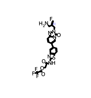 NC/C(=C\F)Cn1nc2ccc(-c3ccc4sc(NC(=O)COC(=O)C(F)(F)F)nc4c3)cn2c1=O